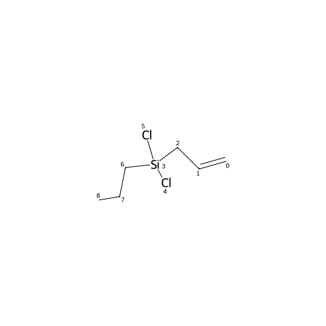 C=CC[Si](Cl)(Cl)CCC